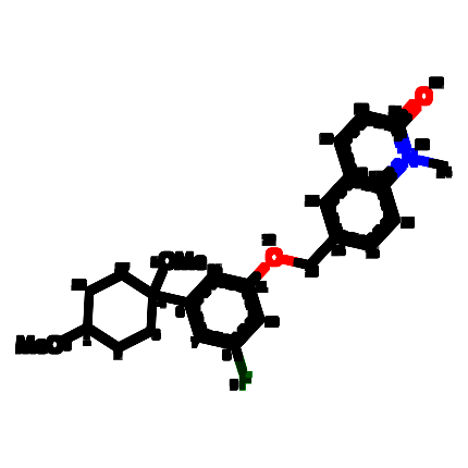 COC1CCC(OC)(c2cc(F)cc(OCc3ccc4c(ccc(=O)n4C)c3)c2)CC1